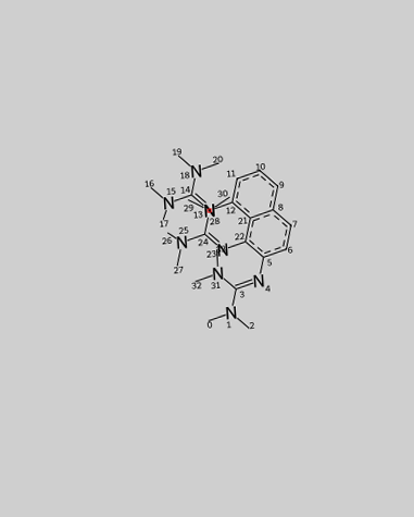 CN(C)C(=Nc1ccc2cccc(N=C(N(C)C)N(C)C)c2c1N=C(N(C)C)N(C)C)N(C)C